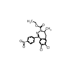 CCOC(=O)N1N=C(c2ccc([N+](=O)[O-])cc2)c2cc(Cl)c(Cl)cc2CC1C